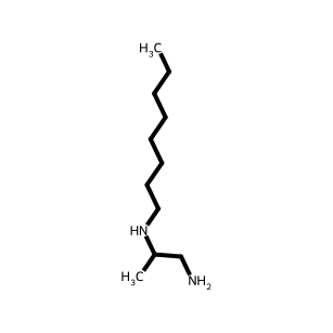 CCCCCCCCNC(C)CN